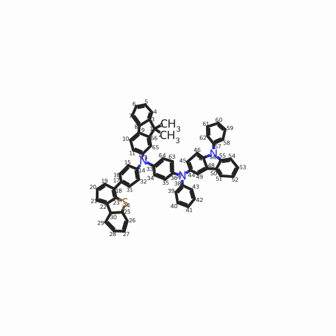 CC1(C)c2ccccc2-c2ccc(N(c3ccc(-c4cccc5c4SC4C=CC=CC54)cc3)c3ccc(N(c4ccccc4)c4ccc5c(c4)c4ccccc4n5-c4ccccc4)cc3)cc21